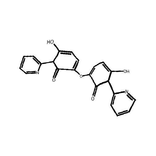 O=C1C(OC2=CC=C(O)C(c3ccccn3)C2=O)=CC=C(O)C1c1ccccn1